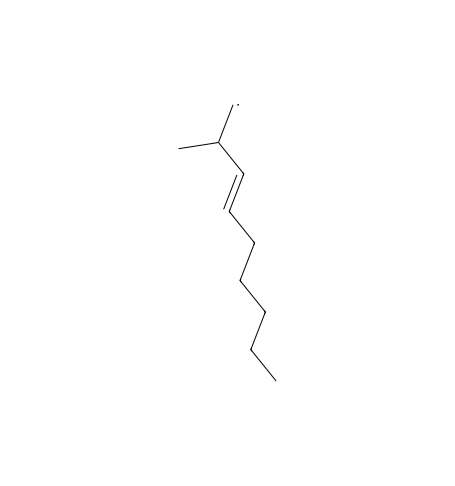 [CH2]C(C)C=CCCCCC